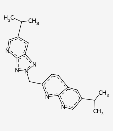 CC(C)c1cnc2nc(Cn3nc4cc(C(C)C)cnc4n3)ccc2c1